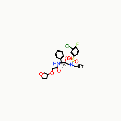 CC(C)CN(C[C@@H](O)[C@@](C)(NC(=O)COC1CCOC1)c1ccccc1)S(=O)(=O)c1ccc(F)c(Cl)c1